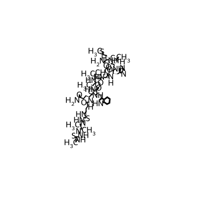 CNC(=S)N/N=C(C)/C(C)=N/NC(=S)NCCCC(=O)N[C@@H](CCC(N)=O)C(=O)N[C@@H](Cc1c[nH]c2ccccc12)C(=O)N[C@@H](C)C(=O)N[C@H](C(=O)NCC(=O)N[C@@H](Cc1c[nH]cn1)C(=O)N[C@@H](CC(C)C)C(=O)N[C@@H](CCSC)C(N)=O)C(C)C